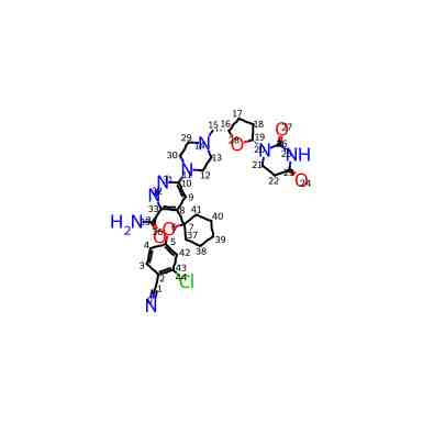 N#Cc1ccc(OC2(c3cc(N4CCN(C[C@@H]5CC[C@H](N6CCC(=O)NC6=O)O5)CC4)nnc3C(N)=O)CCCCC2)cc1Cl